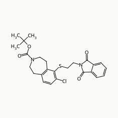 CC(C)(C)OC(=O)N1CCc2ccc(Cl)c(SCCN3C(=O)c4ccccc4C3=O)c2CC1